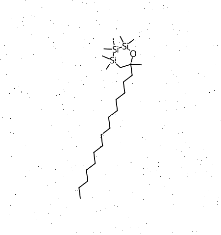 CCCCCCCCCCCCCCCC1(C)C[Si](C)(C)[Si](C)(C)[Si](C)(C)O1